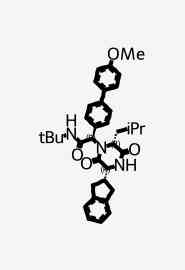 COc1ccc(-c2ccc([C@H](C(=O)NC(C)(C)C)N3C(=O)[C@@H](C4Cc5ccccc5C4)NC(=O)[C@H]3CC(C)C)cc2)cc1